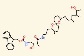 C/C(=C\[C@@H](C)CC[C@@H]1CCC[C@]2(CCC(C)[C@@H](CCCNC(=O)[C@@H](C)[C@@H](O)CNC(=O)OCC3c4ccccc4-c4ccccc43)O2)O1)[C@H](C)O